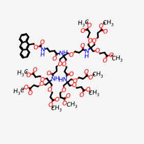 COC(=O)CCOCC(COCCC(=O)OC)(COCCC(=O)OC)NC(=O)CCOCC(COCCC(=O)NC(COCCC(=O)OC)(COCCC(=O)OC)COCCC(=O)OC)(COCCC(=O)NC(COCCC(=O)OC)(COCCC(=O)OC)COCCC(=O)OC)NC(=O)CCCNC(=O)OCc1c2ccccc2cc2ccccc12